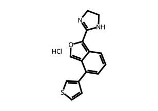 Cl.c1cc(-c2ccsc2)c2coc(C3=NCCN3)c2c1